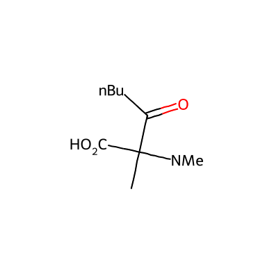 CCCCC(=O)C(C)(NC)C(=O)O